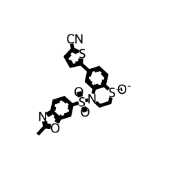 Cc1nc2ccc(S(=O)(=O)N3CC[S+]([O-])c4ccc(-c5ccc(C#N)s5)cc43)cc2o1